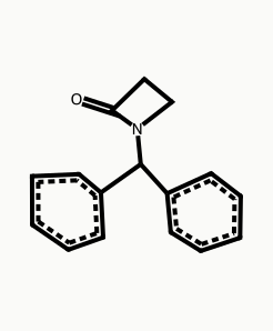 O=C1CCN1C(c1ccccc1)c1ccccc1